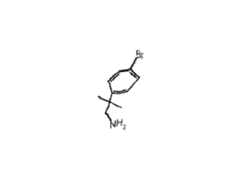 CC(C)(CN)c1ccc(Br)cc1